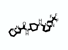 O=C(NC1CCC(Nc2cccc3nc(C(F)(F)F)cn23)CC1)c1cc2n(n1)CCCC2